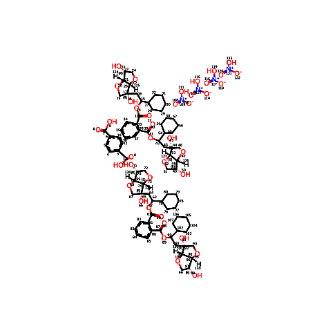 O=C(O)c1ccc(C(=O)O)cc1.O=C(OC(C[C@@]1(O)CO[C@@H]2[C@H](O)CO[C@@H]21)C1CCCCC1)c1ccccc1C(=O)OC(C[C@@]1(O)CO[C@@H]2[C@H](O)CO[C@@H]21)C1CCCCC1.O=C(OC(C[C@@]1(O)CO[C@@H]2[C@H](O)CO[C@@H]21)C1CCCCC1)c1ccccc1C(=O)OC(C[C@@]1(O)CO[C@@H]2[C@H](O)CO[C@@H]21)C1CCCCC1.O=[N+]([O-])O.O=[N+]([O-])O.O=[N+]([O-])O.O=[N+]([O-])O